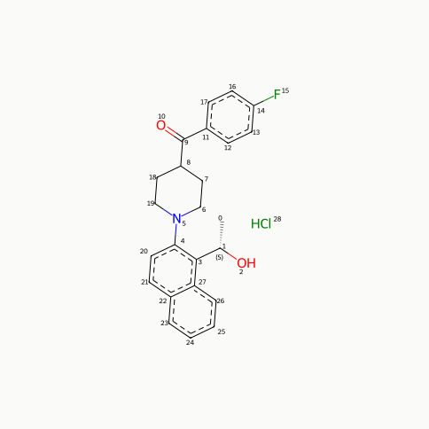 C[C@H](O)c1c(N2CCC(C(=O)c3ccc(F)cc3)CC2)ccc2ccccc12.Cl